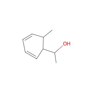 CC(O)C1C=CC=CC1C